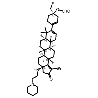 CC(C)C1=C2[C@H]3CC[C@@H]4[C@@]5(C)CC=C(C6=CC[C@](CF)(OC=O)CC6)C(C)(C)[C@@H]5CC[C@@]4(C)[C@]3(C)CC[C@@]2(NCCN2CCCCC2)CC1=O